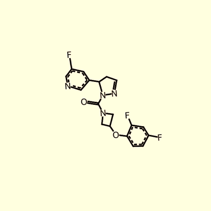 O=C(N1CC(Oc2ccc(F)cc2F)C1)N1N=CCC1c1cncc(F)c1